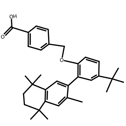 Cc1cc2c(cc1-c1cc(C(C)(C)C)ccc1OCc1ccc(C(=O)O)cc1)C(C)(C)CCC2(C)C